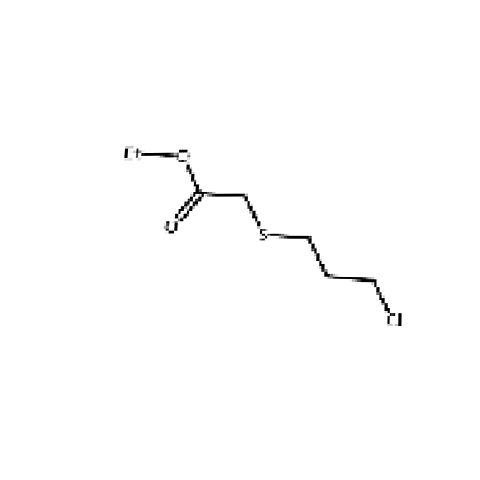 CCOC(=O)CSCCCCl